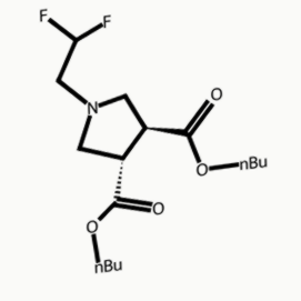 CCCCOC(=O)[C@@H]1CN(CC(F)F)C[C@H]1C(=O)OCCCC